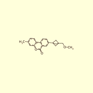 COCC12CC(c3ccc4c(c3)c(=O)oc3cc(C)ccc34)(C1)C2